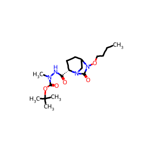 CCCCON1C(=O)N2CC1CC[C@H]2C(=O)NN(C)C(=O)OC(C)(C)C